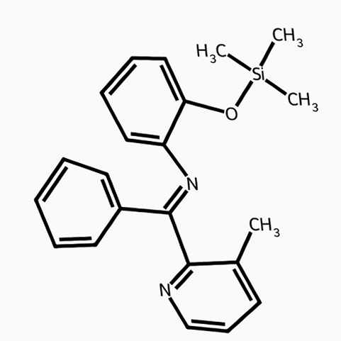 Cc1cccnc1C(=Nc1ccccc1O[Si](C)(C)C)c1ccccc1